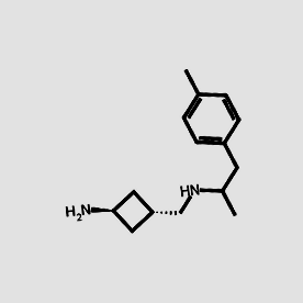 Cc1ccc(CC(C)NC[C@H]2C[C@H](N)C2)cc1